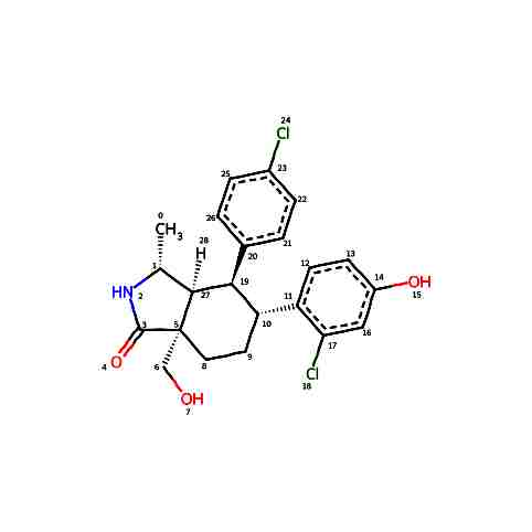 C[C@H]1NC(=O)[C@]2(CO)CC[C@@H](c3ccc(O)cc3Cl)[C@H](c3ccc(Cl)cc3)[C@H]12